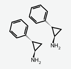 N[C@@H]1C[C@H]1c1ccccc1.N[C@@H]1C[C@H]1c1ccccc1